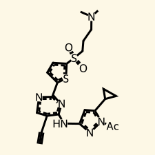 C#Cc1cnc(-c2ccc(S(=O)(=O)CCCN(C)C)s2)nc1Nc1cc(C2CC2)n(C(C)=O)n1